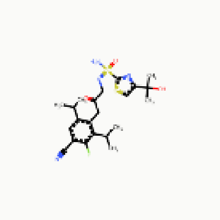 CC(C)c1cc(C#N)c(F)c(C(C)C)c1CC(=O)CN=S(N)(=O)c1nc(C(C)(C)O)cs1